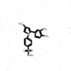 CC(=O)NS(=O)(=O)c1ccc(-n2cc(C)cc2-c2ccc(C)c(C)c2)cc1